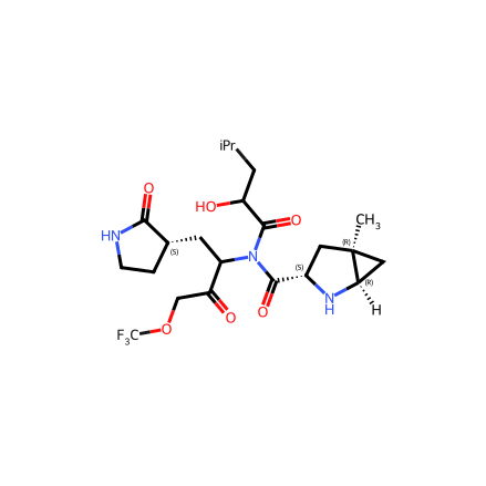 CC(C)CC(O)C(=O)N(C(=O)[C@@H]1C[C@@]2(C)C[C@H]2N1)C(C[C@@H]1CCNC1=O)C(=O)COC(F)(F)F